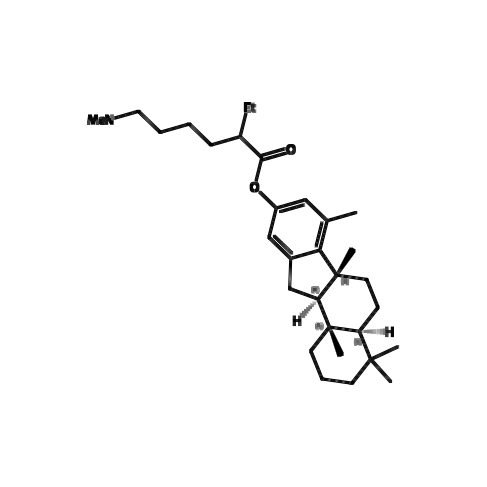 CCC(CCCCNC)C(=O)Oc1cc(C)c2c(c1)C[C@@H]1[C@@]3(C)CCCC(C)(C)[C@@H]3CC[C@@]21C